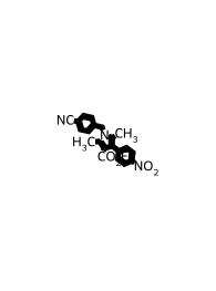 CCOC(=O)c1c(-c2ccc([N+](=O)[O-])cc2)c(C)n(Cc2ccc(C#N)cc2)c1C